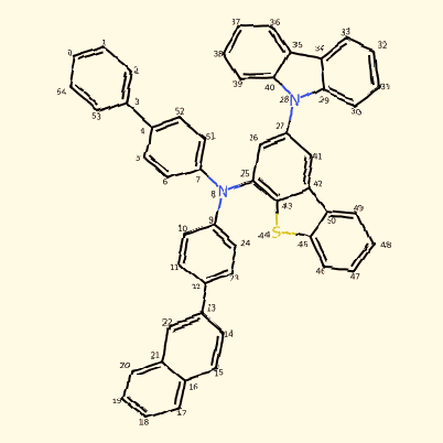 c1ccc(-c2ccc(N(c3ccc(-c4ccc5ccccc5c4)cc3)c3cc(-n4c5ccccc5c5ccccc54)cc4c3sc3ccccc34)cc2)cc1